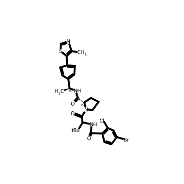 Cc1ncsc1-c1ccc([C@H](C)NC(=O)[C@@H]2CCCN2C(=O)C(NC(=O)c2ccc(Br)cc2Cl)C(C)(C)C)cc1